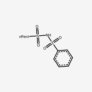 CCCCCS(=O)(=O)NS(=O)(=O)c1ccccc1